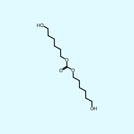 O=C(OCCCCCCO)OCCCCCCO